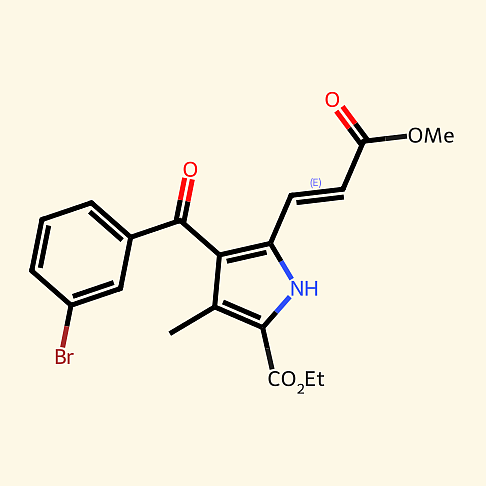 CCOC(=O)c1[nH]c(/C=C/C(=O)OC)c(C(=O)c2cccc(Br)c2)c1C